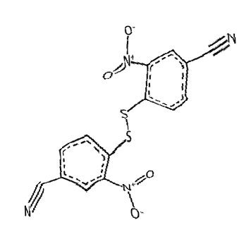 N#Cc1ccc(SSc2ccc(C#N)cc2[N+](=O)[O-])c([N+](=O)[O-])c1